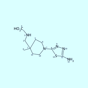 CC1(CNC(=O)O)CCN(c2nnc(N)s2)CC1